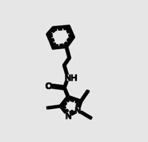 Cc1nn(C)c(C)c1C(=O)NCCc1ccccc1